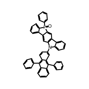 O=P1(c2ccccc2)c2ccccc2-c2cc3c(cc21)c1ccccc1n3-c1ccc2c(-c3ccccc3)c3ccccc3c(-c3ccccc3)c2c1